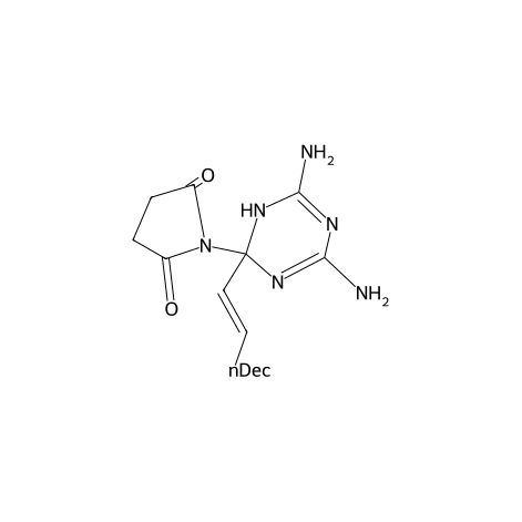 CCCCCCCCCCC=CC1(N2C(=O)CCC2=O)N=C(N)N=C(N)N1